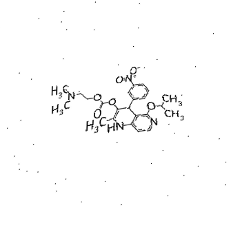 CC1=C(OC(=O)OCCN(C)C)C(c2cccc([N+](=O)[O-])c2)c2c(ccnc2OC(C)C)N1